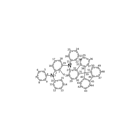 Cc1c(N(c2ccccc2)c2ccccc2)cccc1N(c1ccccc1)c1cccc2c1-c1ccccc1C21c2ccccc2-c2ccccc21